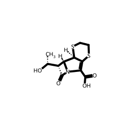 C[C@@H](O)[C@H]1C(=O)N2C(C(=O)O)=C3SCCS[C@@H]3[C@H]12